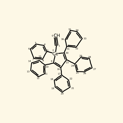 C#[C][Ge]1([c]2ccccc2)[C](c2ccccc2)=C(c2ccccc2)C(c2ccccc2)=[C]1c1ccccc1